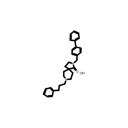 Cl.O=C1N(Cc2ccc(-c3ccccc3)cc2)CCC12CCN(CCCc1ccccc1)CC2